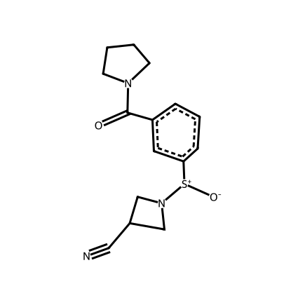 N#CC1CN([S+]([O-])c2cccc(C(=O)N3CCCC3)c2)C1